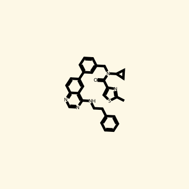 Cc1nc(C(=O)N(Cc2cccc(-c3ccc4ncnc(NCCc5ccccc5)c4c3)c2)C2CC2)cs1